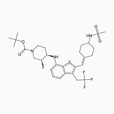 CC(C)(C)OC(=O)N1CC[C@@H](Nc2cccc3c(CC(F)(F)F)c(C=C4CCC(NS(C)(=O)=O)CC4)sc23)[C@@H](F)C1